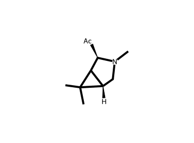 CC(=O)[C@@H]1C2[C@H](CN1C)C2(C)C